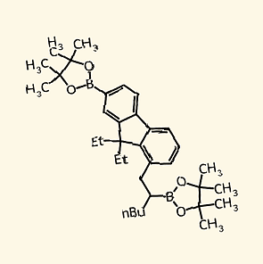 CCCCC(Cc1cccc2c1C(CC)(CC)c1cc(B3OC(C)(C)C(C)(C)O3)ccc1-2)B1OC(C)(C)C(C)(C)O1